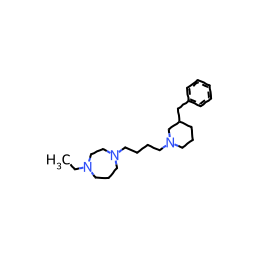 CCN1CCCN(CCCCN2CCCC(Cc3ccccc3)C2)CC1